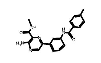 CNC(=O)c1nc(-c2cccc(NC(=O)c3ccc(C)cc3)c2)cnc1N